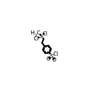 C[Si](Cl)(Cl)CCc1ccc(S(=O)(=O)Cl)cc1